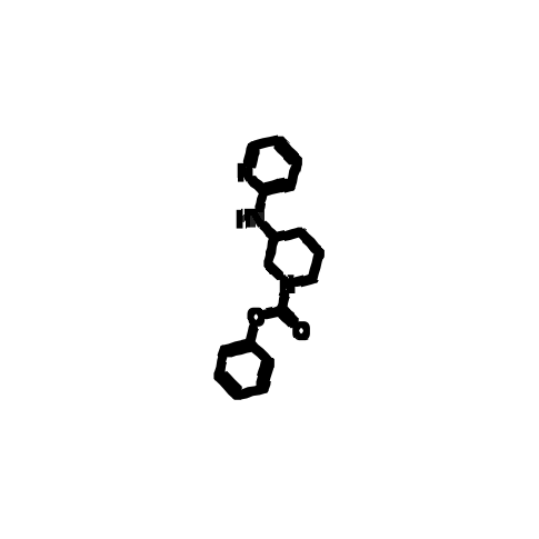 O=C(Oc1ccccc1)N1CCCC(Nc2ccccn2)C1